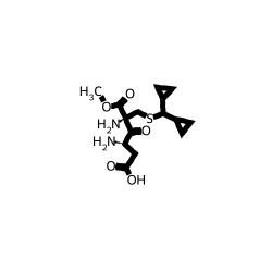 COC(=O)[C@@](N)(CSC(C1CC1)C1CC1)C(=O)[C@@H](N)CC(=O)O